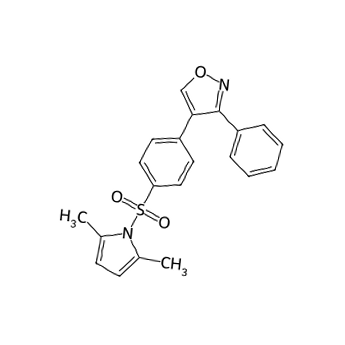 Cc1ccc(C)n1S(=O)(=O)c1ccc(-c2conc2-c2ccccc2)cc1